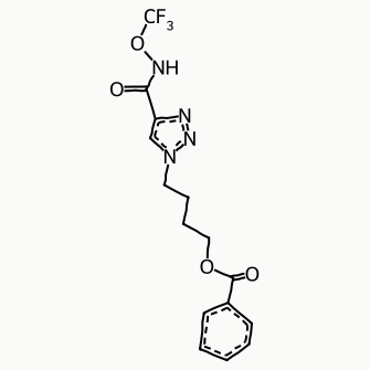 O=C(OCCCCn1cc(C(=O)NOC(F)(F)F)nn1)c1ccccc1